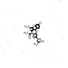 CC(=N)N1c2sc(C)c(C)c2C(c2ccc(Cl)cc2)=NC(CC(=O)NC[C@@H](C)O)C1N